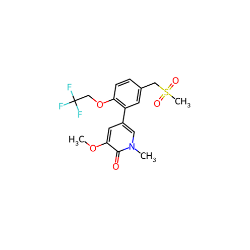 COc1cc(-c2cc(CS(C)(=O)=O)ccc2OCC(F)(F)F)cn(C)c1=O